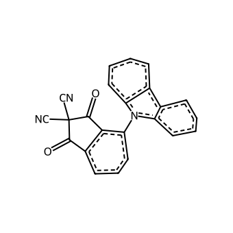 N#CC1(C#N)C(=O)c2cccc(-n3c4ccccc4c4ccccc43)c2C1=O